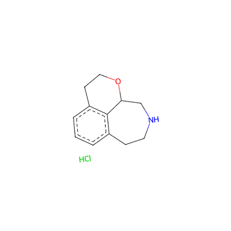 Cl.c1cc2c3c(c1)CCOC3CNCC2